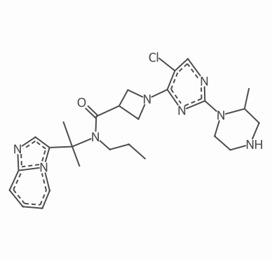 CCCN(C(=O)C1CN(c2nc(N3CCNCC3C)ncc2Cl)C1)C(C)(C)c1cnc2ccccn12